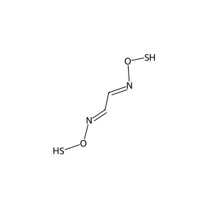 SON=CC=NOS